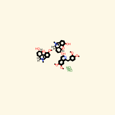 CN1CC[C@]23c4c5ccc(O)c4O[C@H]2[C@@H](O)C=C[C@H]3[C@H]1C5.COc1ccc(Cc2nccc3cc(OC)c(OC)cc23)cc1OC.COc1ccc2c3c1O[C@H]1[C@@H](O)C=C[C@H]4[C@@H](C2)N(C)CC[C@@]341.Cl.Cl.Cl